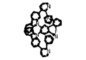 N#Cc1cc(-n2c3ccccc3c3ccc(-c4cccnc4-c4ccccc4)cc32)c(-n2c3ccccc3c3ccc(-c4cccnc4-c4ccccc4)cc32)cc1-c1c(F)cccc1F